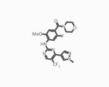 COc1cc(C(=O)N2CCOCC2)c(F)cc1Nc1ncc(C(F)(F)F)c(-c2cnn(C)c2)n1